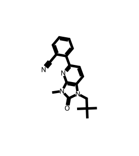 Cn1c(=O)n(CC(C)(C)C)c2ccc(-c3ccccc3C#N)nc21